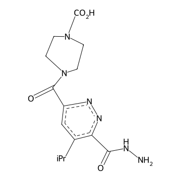 CC(C)c1cc(C(=O)N2CCN(C(=O)O)CC2)nnc1C(=O)NN